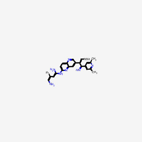 CN/C=C(\C(=N)c1cc(C)nc(C)c1)c1cnc2ccc(N/C(N)=C/C(=C\N)C(C)C)nc2c1